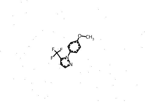 COc1ccc(-n2nc[c]c2C(F)(F)F)cc1